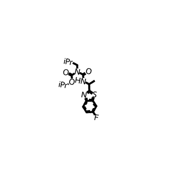 CC(C)CN(C(=O)NC(C)c1nc2ccc(F)cc2s1)C(=O)OC(C)C